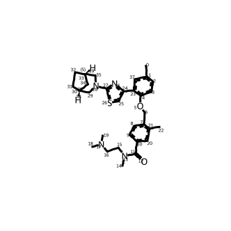 Cc1ccc(OCc2ccc(C(=O)N(C)CCN(C)C)cc2C)c(-c2csc(N3C[C@@H]4CC[C@@H](C4)C3)n2)c1